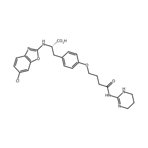 O=C(CCCOc1ccc(C[C@H](Nc2nc3ccc(Cl)cc3o2)C(=O)O)cc1)NC1=NCCCN1